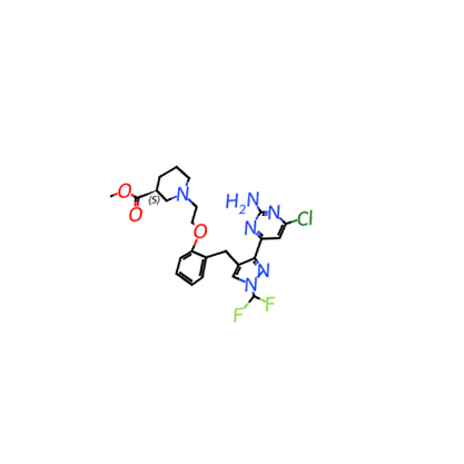 COC(=O)[C@H]1CCCN(CCOc2ccccc2Cc2cn(C(F)F)nc2-c2cc(Cl)nc(N)n2)C1